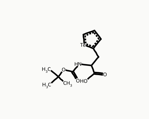 CC(C)(C)OC(=O)NC(Cc1ccc[te]1)C(=O)O